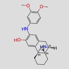 COc1ccc(Nc2cc3c(cc2O)[C@@]24CCCC[C@H]2[C@@H](C3)NCC4)cc1OC